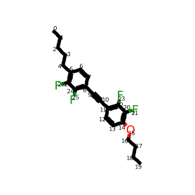 CCCCCc1ccc(C#Cc2ccc(OCCCC)c(F)c2F)c(F)c1F